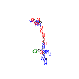 NC1(C(=O)NC(CCN2CCN(C(=O)CCOCCOCCOCCOCCNc3cccc4c3C(=O)N(C3CCC(=O)NC3=O)C4=O)CC2)c2ccc(Cl)cc2)CCN(c2ncnc3[nH]ccc23)CC1